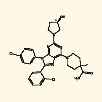 CC1(C(N)=O)CCN(c2nc(N3CC[C@@H](O)C3)nc3c2nc(-c2ccccc2Cl)n3-c2ccc(Cl)cc2)CC1